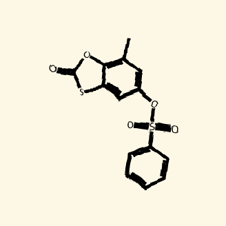 Cc1cc(OS(=O)(=O)c2ccccc2)cc2sc(=O)oc12